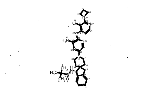 CC(C)(C)[S+]([O-])N[C@@H]1c2ccccc2CC12CCN(c1cnc(Sc3ccnc(N4CCC4)c3Cl)c(N)n1)CC2